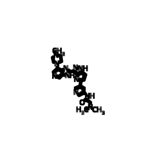 CN(C)CC(=O)Nc1cncc(-c2ccc3[nH]nc(-c4nc5c(N6CCN(C)CC6)cncc5[nH]4)c3n2)c1